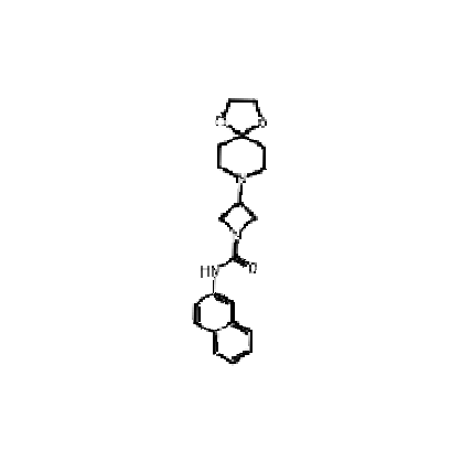 O=C(Nc1ccc2ccccc2c1)N1CC(N2CCC3(CC2)OCCO3)C1